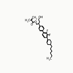 C=C(C)C(=O)OCC(CCO)c1ccc(-c2ccc(C3=CCC(CCCCCC)CC3)c(F)c2F)cc1